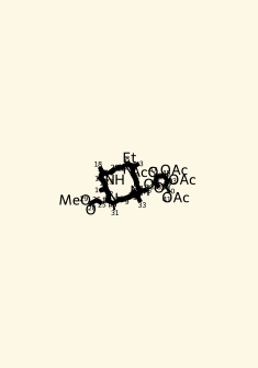 CCC1=C(C)c2cc3[nH]c(cc4nc(c(C)c5cc(C)c(cc1n2)[nH]5)[C@@H](CCC(=O)OC)[C@@H]4C)c(C)c3CO[C@@H]1O[C@H](COC(C)=O)[C@@H](OC(C)=O)[C@H](OC(C)=O)[C@H]1OC(C)=O